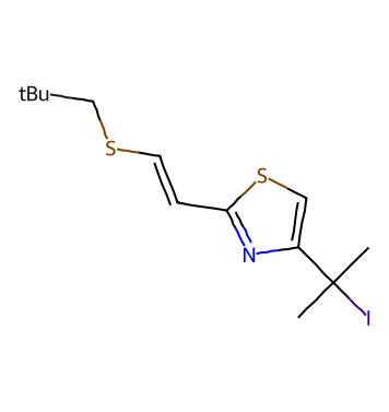 CC(C)(C)CS/C=C/c1nc(C(C)(C)I)cs1